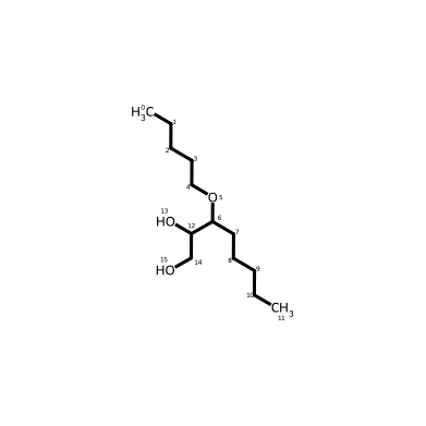 CCCCCOC(CCCCC)C(O)CO